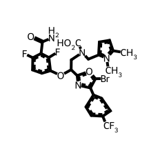 Cc1ccc(CN(CC(Oc2ccc(F)c(C(N)=O)c2F)c2nc(-c3ccc(C(F)(F)F)cc3)c(Br)o2)C(=O)O)n1C